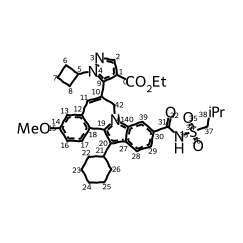 CCOC(=O)c1cnn(C2CCC2)c1C1=Cc2cc(OC)ccc2-c2c(C3CCCCC3)c3ccc(C(=O)NS(=O)(=O)CC(C)C)cc3n2C1